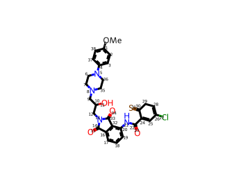 COc1ccc(N2CCN(CC(O)CN3C(=O)c4cccc(NC(=O)C5=CC(Cl)=CCC5=S)c4C3=O)CC2)cc1